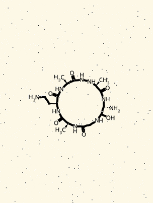 C[C@@H]1NNC(=O)[C@H](C)NC(=O)[C@H](CCN)NC(=O)[C@H](C)NC(=O)CNC(O)[C@@H](N)NC1=O